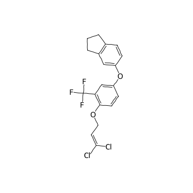 FC(F)(F)c1cc(Oc2ccc3c(c2)CCC3)ccc1OCC=C(Cl)Cl